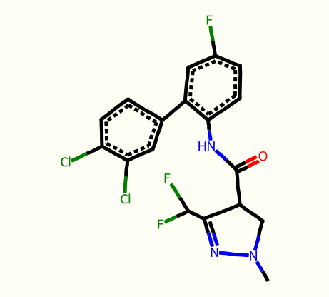 CN1CC(C(=O)Nc2ccc(F)cc2-c2ccc(Cl)c(Cl)c2)C(C(F)F)=N1